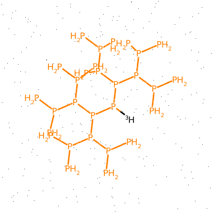 [3H]P(P(P(P)P(P)P)P(P(P)P)P(P)P)P(P(P(P)P)P(P)P)P(P(P)P)P(P)P